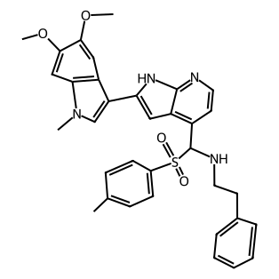 COc1cc2c(-c3cc4c(C(NCCc5ccccc5)S(=O)(=O)c5ccc(C)cc5)ccnc4[nH]3)cn(C)c2cc1OC